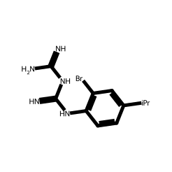 CC(C)c1ccc(NC(=N)NC(=N)N)c(Br)c1